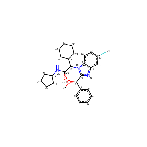 CO[C@H](c1ccccc1)c1nc2cc(F)ccc2n1C(C(=O)NC1CCCC1)C1CCCCC1